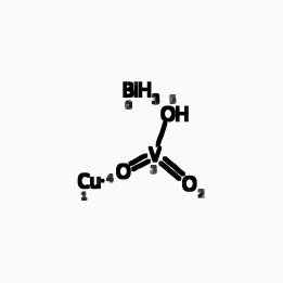 [BiH3].[Cu].[O]=[V](=[O])[OH]